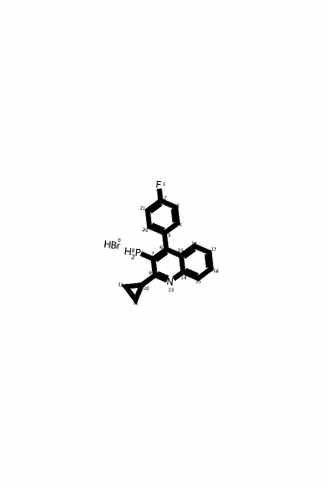 Br.Fc1ccc(-c2c(P)c(C3CC3)nc3ccccc23)cc1